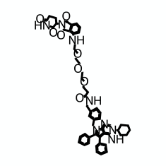 N=c1c2c(-c3ccccc3)c(-c3ccccc3)n(Cc3cccc(CNC(=O)CCOCCOCCOCCNc4cccc5c4C(=O)N(C4CCC(=O)NC4=O)C5=O)c3)c2ncn1C1CCCCC1